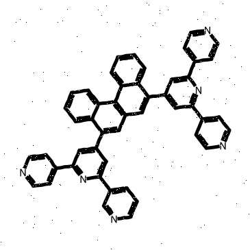 c1cncc(-c2cc(-c3cc4cc(-c5cc(-c6ccncc6)nc(-c6ccncc6)c5)c5ccccc5c4c4ccccc34)cc(-c3ccncc3)n2)c1